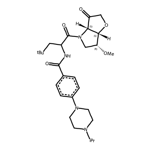 CO[C@@H]1CN(C(=O)C(CC(C)(C)C)NC(=O)c2ccc(N3CCN(C(C)C)CC3)cc2)[C@@H]2C(=O)CO[C@@H]21